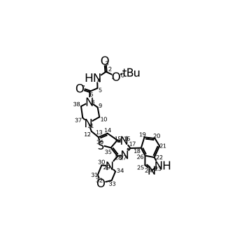 CC(C)(C)OC(=O)NCC(=O)N1CCN(Cc2cc3nc(-c4cccc5[nH]ncc45)nc(N4CCOCC4)c3s2)CC1